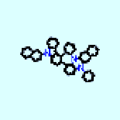 c1ccc(N2c3cc4ccccc4cc3N3c4ccccc4-c4c(ccc5c4c4ccccc4n5-c4ccc5ccccc5c4)-c4cccc2c43)cc1